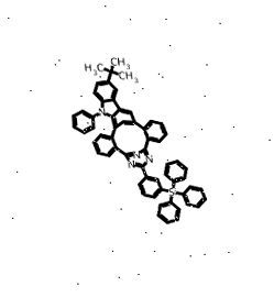 CC(C)(C)c1ccc2c(c1)c1cc3cc(c4ccccc4c4nc(-c5cccc([Si](c6ccccc6)(c6ccccc6)c6ccccc6)c5)nc(n4)c4ccccc34)c1n2-c1ccccc1